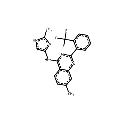 Cc1ccc2c(Nc3n[nH]c(C)n3)nc(-c3ccccc3C(F)(F)F)nc2c1